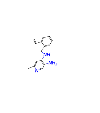 C=Cc1ccccc1CNc1cc(C)ncc1N